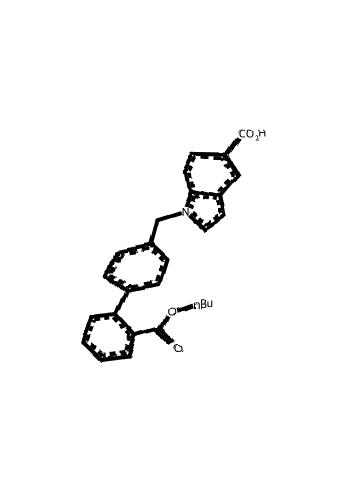 CCCCOC(=O)c1ccccc1-c1ccc(Cn2ccc3cc(C(=O)O)ccc32)cc1